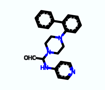 O=CC(Nc1ccncc1)N1CCN(c2ccccc2-c2ccccc2)CC1